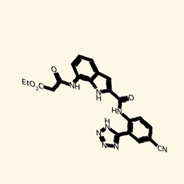 CCOC(=O)CC(=O)Nc1cccc2cc(C(=O)Nc3ccc(C#N)cc3-c3nnn[nH]3)[nH]c12